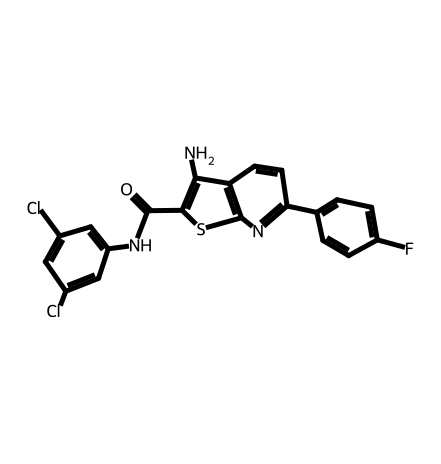 Nc1c(C(=O)Nc2cc(Cl)cc(Cl)c2)sc2nc(-c3ccc(F)cc3)ccc12